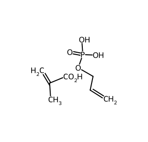 C=C(C)C(=O)O.C=CCOP(=O)(O)O